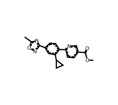 COC(=O)c1ccc(-c2ccc(-c3noc(C)n3)cc2C2CC2)nc1